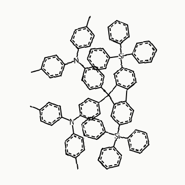 Cc1ccc(N(c2ccc(C)cc2)c2ccc(C3(c4ccc(N(c5ccc(C)cc5)c5ccc(C)cc5)cc4)c4cc([Si](c5ccccc5)(c5ccccc5)c5ccccc5)ccc4-c4ccc([Si](c5ccccc5)(c5ccccc5)c5ccccc5)cc43)cc2)cc1